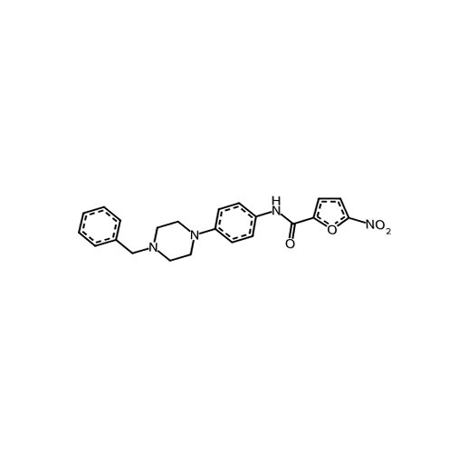 O=C(Nc1ccc(N2CCN(Cc3ccccc3)CC2)cc1)c1ccc([N+](=O)[O-])o1